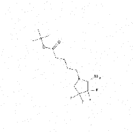 CC(C)(C)OC(=O)CCCCN1CC(F)(F)C(F)(F)[C@H]1N